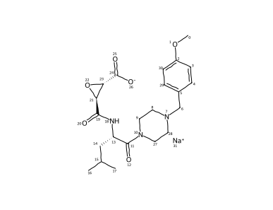 COc1ccc(CN2CCN(C(=O)[C@H](CC(C)C)NC(=O)[C@H]3O[C@@H]3C(=O)[O-])CC2)cc1.[Na+]